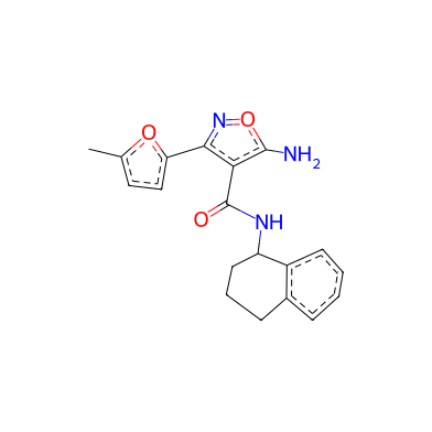 Cc1ccc(-c2noc(N)c2C(=O)NC2CCCc3ccccc32)o1